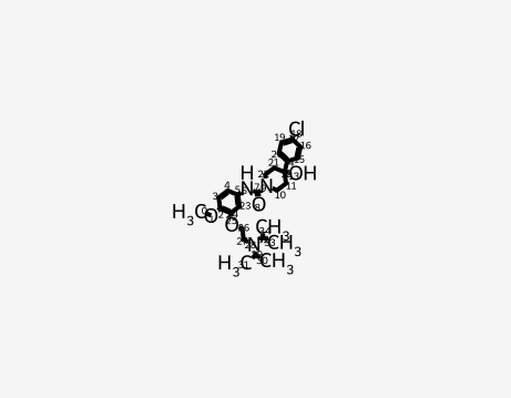 COc1ccc(NC(=O)N2CCC(O)(c3ccc(Cl)cc3)CC2)cc1OCCN(C(C)C)C(C)C